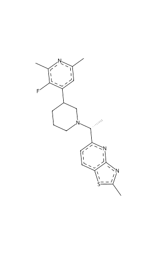 Cc1cc(C2CCCN([C@H](C)c3ccc4sc(C)nc4n3)C2)c(F)c(C)n1